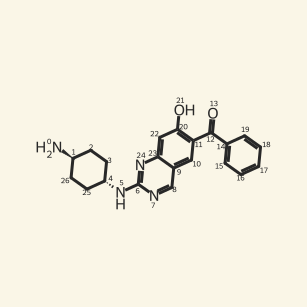 N[C@H]1CC[C@H](Nc2ncc3cc(C(=O)c4ccccc4)c(O)cc3n2)CC1